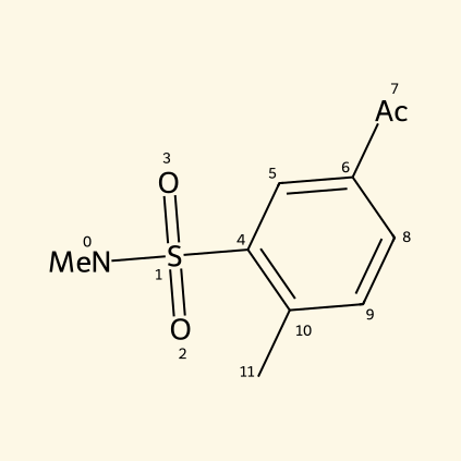 CNS(=O)(=O)c1cc(C(C)=O)ccc1C